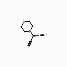 [C]#CC(=C=O)N1CCOCC1